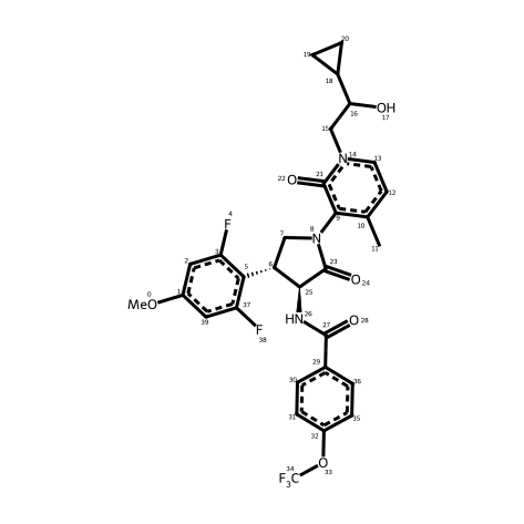 COc1cc(F)c([C@@H]2CN(c3c(C)ccn(CC(O)C4CC4)c3=O)C(=O)[C@H]2NC(=O)c2ccc(OC(F)(F)F)cc2)c(F)c1